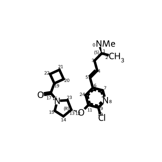 CN[C@@H](C)CC=Cc1cnc(Cl)c(O[C@@H]2CCN(C(=O)C3CCC3)C2)c1